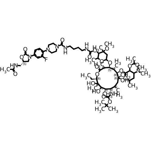 CC[C@H]1OC(=O)[C@H](C)[C@@H](OC2CC(C)(OC)C(OC(=O)NCCCCNC(=O)N3CCN(c4ccc(N5C[C@H](CNC(C)=O)OC5=O)cc4F)CC3)C(C)O2)[C@H](C)[C@@H](OC2OC(C)CC(N(C)C)C2OC(C)=O)[C@](C)(O)C[C@@H](C)[C@H](NC(=O)OC(C)(C)C)[C@H](C)[C@@H](O)[C@]1(C)O